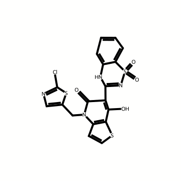 O=c1c(C2=NS(=O)(=O)c3ccccc3N2)c(O)c2sccc2n1Cc1cnc(Cl)s1